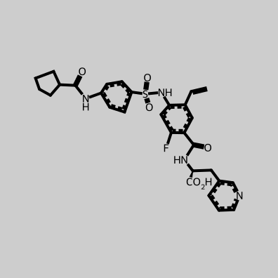 C=Cc1cc(C(=O)N[C@@H](Cc2cccnc2)C(=O)O)c(F)cc1NS(=O)(=O)c1ccc(NC(=O)C2CCCC2)cc1